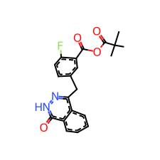 CC(C)(C)C(=O)OC(=O)c1cc(Cc2n[nH]c(=O)c3ccccc23)ccc1F